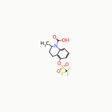 CC1CCc2c(OS(=O)(=O)C(F)(F)F)cccc2N1C(=O)O